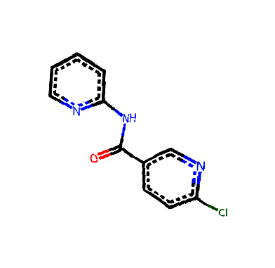 O=C(Nc1ccccn1)c1ccc(Cl)nc1